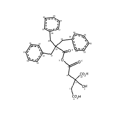 O=C(O)CC(O)(CC(=O)OC(=O)C(Cc1ccccc1)(Cc1ccccc1)Cc1ccccc1)C(=O)O